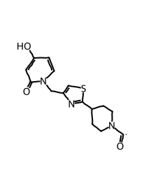 O=[C]N1CCC(c2nc(Cn3ccc(O)cc3=O)cs2)CC1